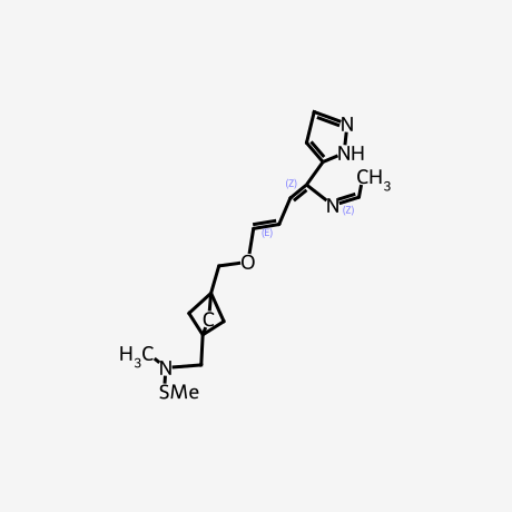 C\C=N/C(=C\C=C\OCC12CC(CN(C)SC)(C1)C2)c1ccn[nH]1